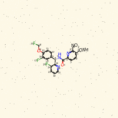 COc1ccc(C(=O)N[C@@H](c2ccc(OCF)c(F)c2)c2ncccc2F)nc1[N+](=O)[O-]